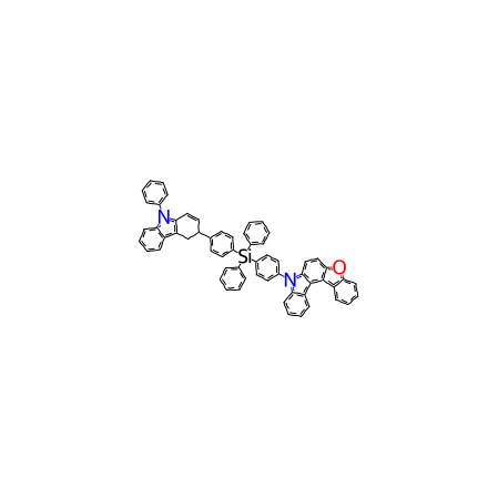 C1=CC(c2ccc([Si](c3ccccc3)(c3ccccc3)c3ccc(-n4c5ccccc5c5c6c(ccc54)oc4ccccc46)cc3)cc2)Cc2c1n(-c1ccccc1)c1ccccc21